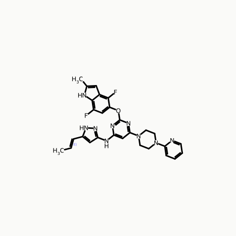 C/C=C/c1cc(Nc2cc(N3CCN(c4ccccn4)CC3)nc(Oc3cc(F)c4[nH]c(C)cc4c3F)n2)n[nH]1